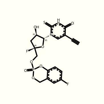 C#Cc1cn([C@@H]2O[C@](F)(COP3(=O)OCc4cc(F)ccc4O3)C[C@H]2O)c(=S)[nH]c1=O